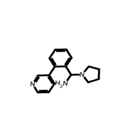 NC(c1ccccc1-c1[c]nccc1)N1CCCC1